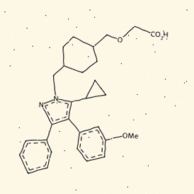 COc1cccc(-c2c(-c3ccccc3)nn(CC3CCC(COCC(=O)O)CC3)c2C2CC2)c1